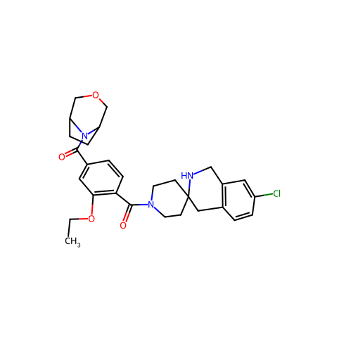 CCOc1cc(C(=O)N2C3CCC2COC3)ccc1C(=O)N1CCC2(CC1)Cc1ccc(Cl)cc1CN2